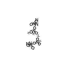 CC(C)(C)c1ccc2c(c1)C(C)(C)c1cc(CC(C)(C)c3ccc4c(c3)C(C)(C)c3ccccc3N4c3ccc(-c4nc5ncccc5n4-c4ccccc4)cc3)ccc1N2c1ccc(-c2nc3cnccc3n2-c2ccccc2)cc1